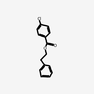 O=C(OCCc1ccccc1)c1ccc(Cl)cc1